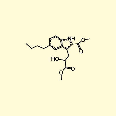 CCCCc1ccc2[nH]c(C(=O)OC)c(CC(O)C(=O)OC)c2c1